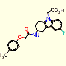 O=C(O)Cn1c2c(c3cc(F)ccc31)CC(NC(=O)COc1ccc(C(F)(F)F)cc1)CC2